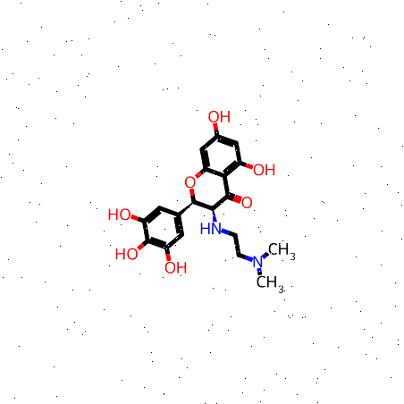 CN(C)CCN[C@@H]1C(=O)c2c(O)cc(O)cc2O[C@@H]1c1cc(O)c(O)c(O)c1